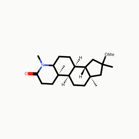 COC1(C)C[C@H]2[C@@H]3CCC4N(C)C(=O)CC[C@]4(C)[C@@H]3CC[C@]2(C)C1